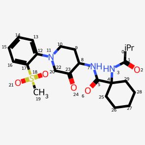 CC(C)C(=O)NC1(C(=O)NC2CCN(c3ccccc3S(C)(=O)=O)CC2=O)CCCCC1